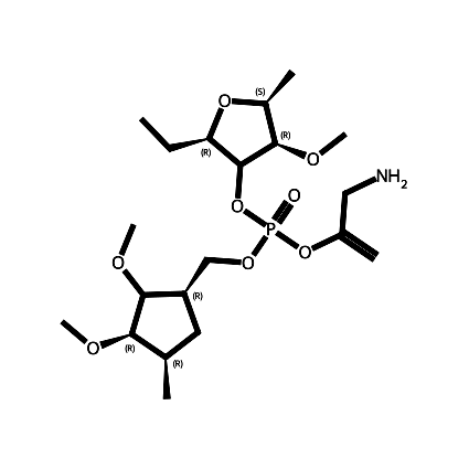 C=C(CN)OP(=O)(OC[C@H]1C[C@@H](C)[C@@H](OC)C1OC)OC1[C@@H](CC)O[C@@H](C)[C@H]1OC